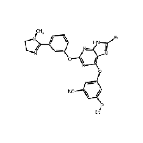 CCOc1cc(C#N)cc(Oc2nc(Oc3cccc(C4=NCCN4C)c3)nc3[nH]c(CC)nc23)c1